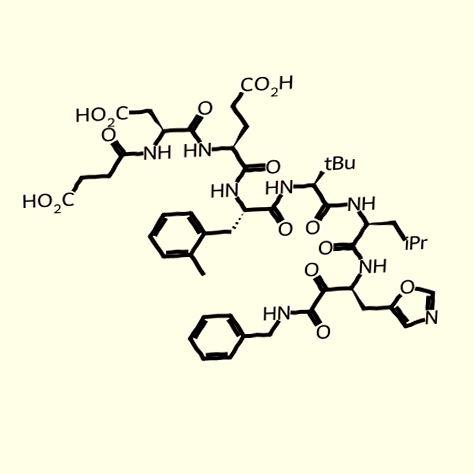 Cc1ccccc1C[C@H](NC(=O)[C@H](CCC(=O)O)NC(=O)[C@H](CC(=O)O)NC(=O)CCC(=O)O)C(=O)N[C@H](C(=O)N[C@@H](CC(C)C)C(=O)N[C@@H](Cc1cnco1)C(=O)C(=O)NCc1ccccc1)C(C)(C)C